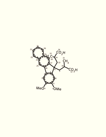 COc1cc2c(cc1OC)C(CC(C)C(=O)O)(CC(C)C(=O)O)c1cc3ccccc3cc1-2